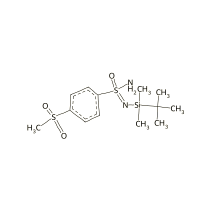 CC(C)(C)[Si](C)(C)N=S(N)(=O)c1ccc(S(C)(=O)=O)cc1